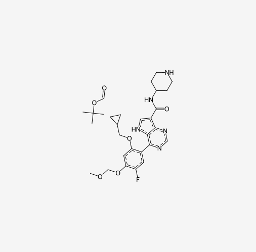 CC(C)(C)OC=O.COCOc1cc(OCC2CC2)c(-c2ncnc3c(C(=O)NC4CCNCC4)c[nH]c23)cc1F